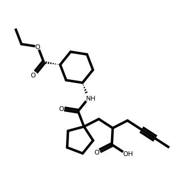 CC#CCC(CC1(C(=O)N[C@H]2CCC[C@@H](C(=O)OCC)C2)CCCC1)C(=O)O